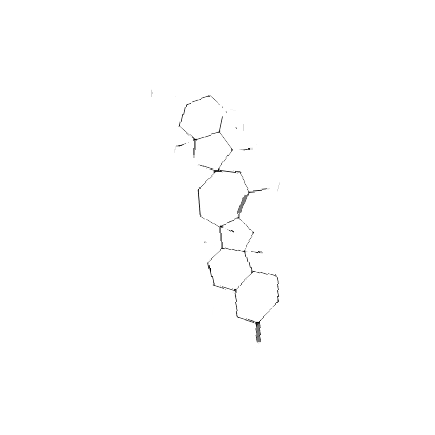 CC1=C2C[C@H]3[C@@H](CC[C@@H]4CC(=O)CC[C@@]43C)[C@@H]2CCC2(C1)O[C@@H]1C[C@H](C)CN[C@H]1[C@H]2C